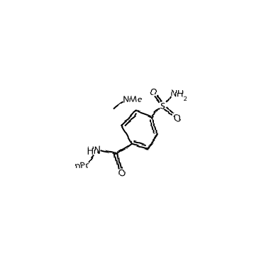 CCCNC(=O)c1ccc(S(N)(=O)=O)cc1.CNC